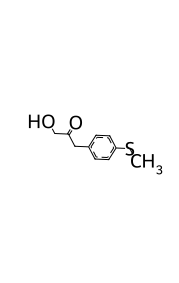 CSc1ccc(CC(=O)CO)cc1